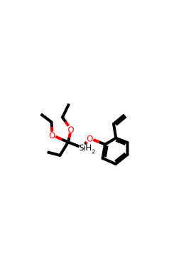 C=Cc1ccccc1O[SiH2]C(CC)(OCC)OCC